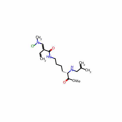 C=C/C(=C\N(C)Cl)C(=O)NCCCC[C@H](NCC(=C)C)C(=O)OC